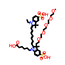 CCN1/C(=C/C=C/C=C/C=C/C2=[N+](CCCCCC(=O)O)c3ccc(S(=O)(=O)O)cc3C2(C)CCOCCOCCOCCOCCOC)C(C)(C)c2cc(S(=O)(=O)O)ccc21